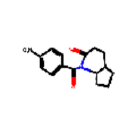 O=C1CCC2CCCC2N1C(=O)c1ccc([N+](=O)[O-])cc1